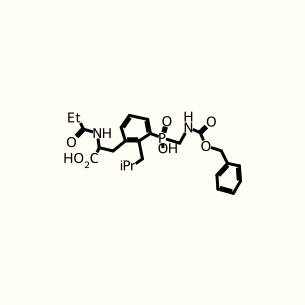 CCC(=O)NC(Cc1cccc(P(=O)(O)CNC(=O)OCc2ccccc2)c1CC(C)C)C(=O)O